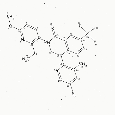 CCc1nc(OC)ccc1N1CN(c2ccc(F)cc2C)c2ccc(C(F)(F)F)cc2C1=O